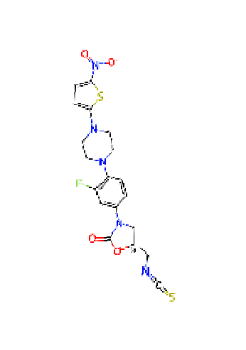 O=C1O[C@@H](CN=C=S)CN1c1ccc(N2CCN(c3ccc([N+](=O)[O-])s3)CC2)c(F)c1